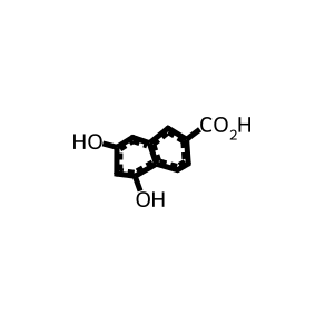 O=C(O)c1ccc2c(O)cc(O)cc2c1